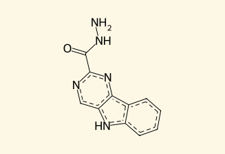 NNC(=O)c1ncc2[nH]c3ccccc3c2n1